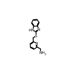 NCc1cccc(CSc2nc3ccccc3[nH]2)n1